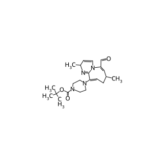 CC1/C=C(/C=O)N2C=CC(C)N=C2/C(N2CCN(C(=O)OC(C)(C)C)CC2)=C/C1